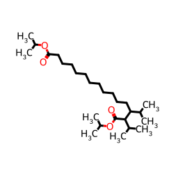 CC(C)OC(=O)CCCCCCCCCCCC(C(C)C)C(C(=O)OC(C)C)C(C)C